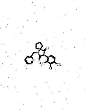 Cc1c(N2C(=O)N(Cc3ccccn3)C3(CCCC3)C2=O)ccc(C#N)c1Cl